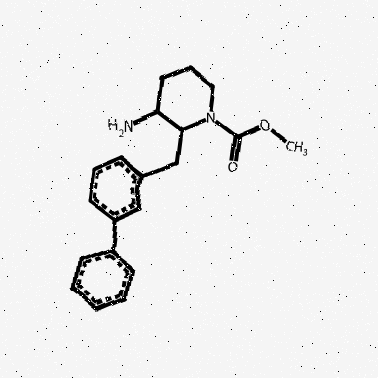 COC(=O)N1CCCC(N)C1Cc1cccc(-c2ccccc2)c1